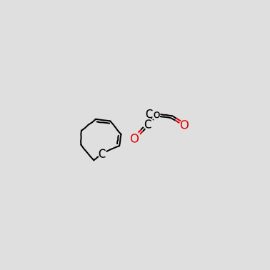 C1=CCCCCC=C1.O=[C]=[Co]=[C]=O